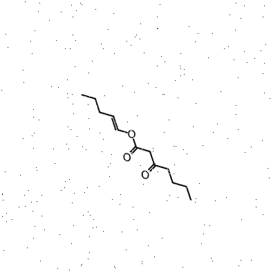 CCCC=COC(=O)CC(=O)CCCC